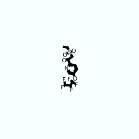 CCS(=O)(=O)CC(=O)c1ccc(OC(F)(F)C(F)C(F)F)cn1